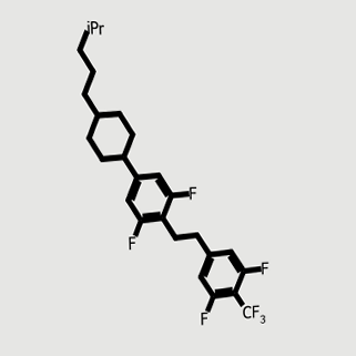 CC(C)CCCC1CCC(c2cc(F)c(CCc3cc(F)c(C(F)(F)F)c(F)c3)c(F)c2)CC1